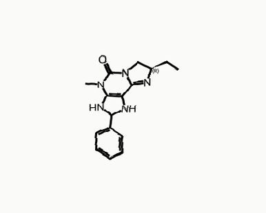 CC[C@@H]1CN2C(=O)N(C)C3=C(NC(c4ccccc4)N3)C2=N1